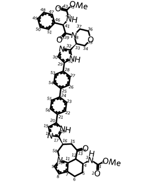 COC(=O)N[C@H]1CCc2ccn3c2C1C(=O)C[C@H](c1ncc(-c2ccc(-c4ccc(-c5cnc([C@@H]6COCCN6C(=O)[C@H](NC(=O)OC)c6ccccc6)[nH]5)cc4)cc2)[nH]1)C3